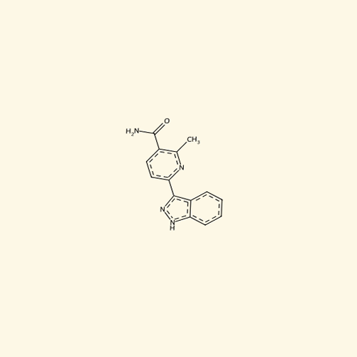 Cc1nc(-c2n[nH]c3ccccc23)ccc1C(N)=O